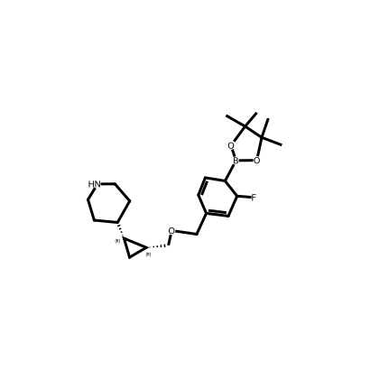 CC1(C)OB(C2C=CC(COC[C@@H]3C[C@@H]3C3CCNCC3)=CC2F)OC1(C)C